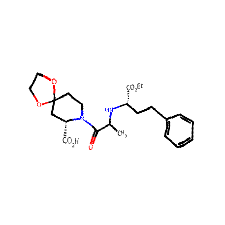 CCOC(=O)[C@H](CCc1ccccc1)NC(C)C(=O)N1CCC2(C[C@H]1C(=O)O)OCCO2